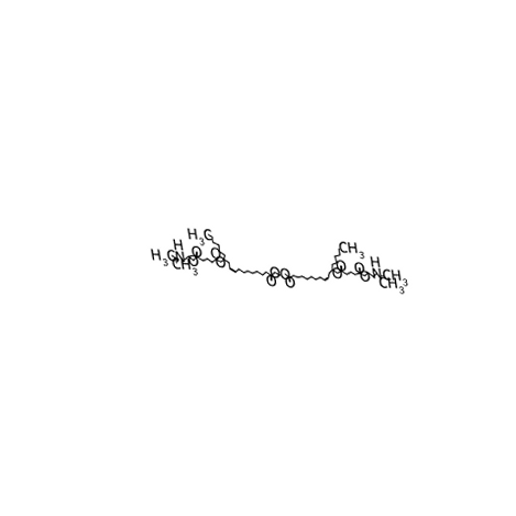 CCCCCCC(C/C=C\CCCCCCCC(=O)OCOC(=O)CCCCCCC/C=C\CC(CCCCCC)OC(=O)CCCC(=O)OCCNC(C)C)OC(=O)CCCC(=O)OCCNC(C)C